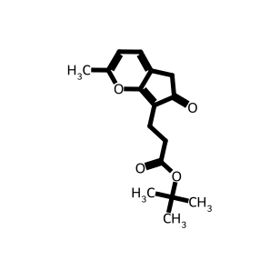 CC1=CC=C2CC(=O)C(CCC(=O)OC(C)(C)C)=C2O1